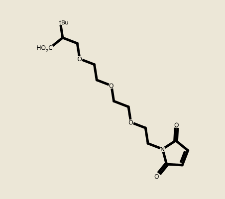 CC(C)(C)C(COCCOCCOCCN1C(=O)C=CC1=O)C(=O)O